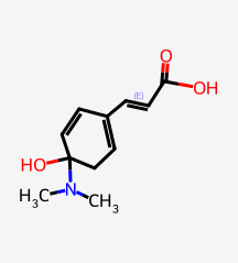 CN(C)C1(O)C=CC(/C=C/C(=O)O)=CC1